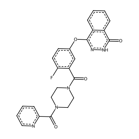 O=C(c1ccccn1)N1CCN(C(=O)c2cc(Oc3n[nH]c(=O)c4ccccc34)ccc2F)CC1